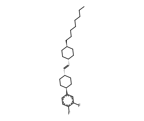 CCCCCCCC[C@H]1CC[C@H](C=C[C@H]2CC[C@H](c3ccc(F)c(F)c3)CC2)CC1